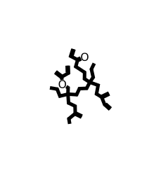 C=CC(=C)CCC(CCC)(CCCC(=O)C=C)CCCC(CCC)(CCC(=C)CC)COC(=C)C=C